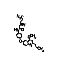 CCCNCC(=O)Nc1ccc(Oc2ccc3nc(CCC)cc(OC)c3c2)cc1